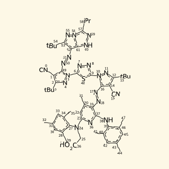 [C-]#[N+]c1c(C(C)(C)C)nn(-c2nnc(-n3nc(C(C)(C)C)c(C#N)c3N=Nc3c(C)cc(N(CC(=O)O)c4c(C)cc(C)cc4C)nc3Nc3c(C)cc(C)cc3C)s2)c1N=Nc1c(C(C)(C)C)nn2c(C(C)C)n[nH]c12